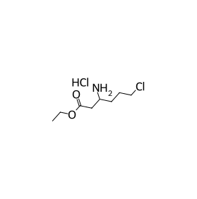 CCOC(=O)CC(N)CCCCl.Cl